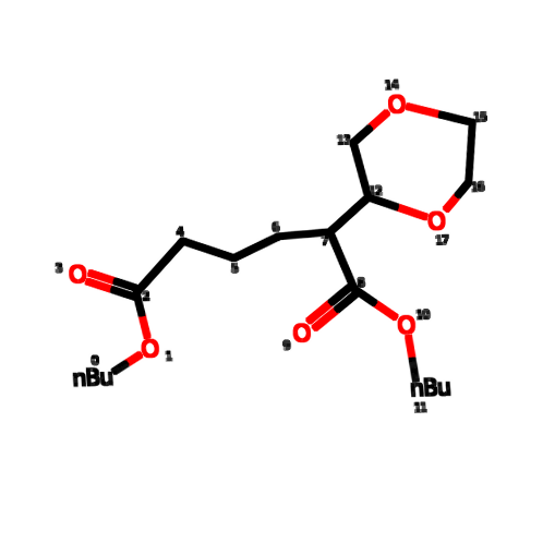 CCCCOC(=O)CCCC(C(=O)OCCCC)C1COCCO1